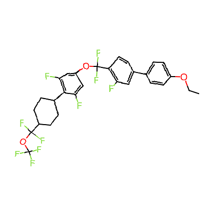 CCOc1ccc(-c2ccc(C(F)(F)Oc3cc(F)c(C4CCC(C(F)(F)OC(F)(F)F)CC4)c(F)c3)c(F)c2)cc1